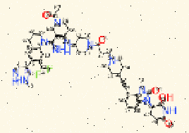 CN/C=C(\C=N)c1cc2c(cc1C(F)F)N(C(=N)C1=C(NC3CCN(C(=O)CCN4CCC(C#Cc5cccc6c5n(C)c(=O)n6C5CCC(=O)NC5O)CC4)CC3)CCN(C(C)=O)C1)CCC2